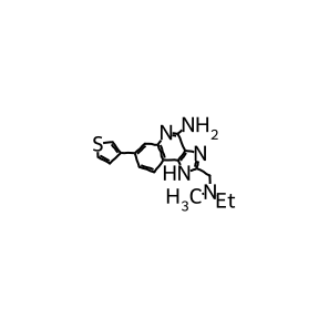 CCN(C)Cc1nc2c(N)nc3cc(-c4ccsc4)ccc3c2[nH]1